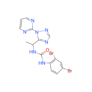 CC(NC(=O)Nc1ccc(Br)cc1Br)c1ncnn1-c1ncccn1